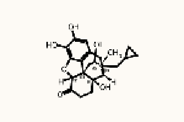 C[N@+]1(CC2CC2)C(O)C[C@]23c4c5cc(O)c(O)c4O[C@H]2C(=O)CC[C@@]3(O)[C@H]1C5